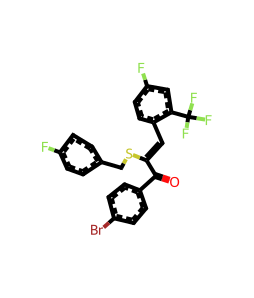 O=C(C(=Cc1ccc(F)cc1C(F)(F)F)SCc1ccc(F)cc1)c1ccc(Br)cc1